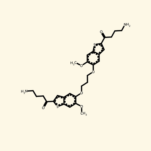 COc1cc2sc(C(=O)CCCN)cc2cc1OCCCOc1cc2cc(C(=O)CCCN)sc2cc1OC